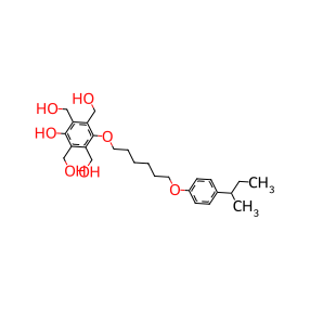 CCC(C)c1ccc(OCCCCCCOc2c(CO)c(CO)c(O)c(CO)c2CO)cc1